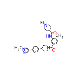 CCN1CCC(C(=O)Nc2cc(C(=O)N3CCC(c4ccc(-c5cnn(C)c5)cc4)CC3)ccc2C)CC1